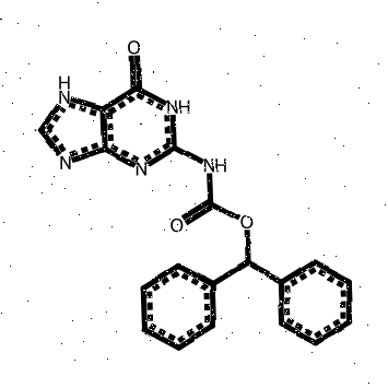 O=C(Nc1nc2n[c][nH]c2c(=O)[nH]1)OC(c1ccccc1)c1ccccc1